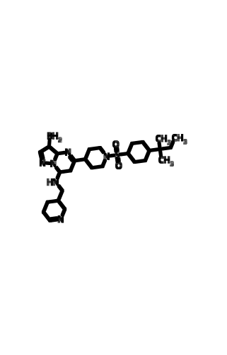 BC1C=NN2C(NCC3CCC=NC3)CC(C3CCN(S(=O)(=O)C4CCC(C(C)(C)CC)CC4)CC3)=NC12